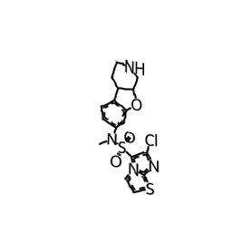 CN(c1ccc2c(c1)OC1CNCCC21)S(=O)(=O)c1c(Cl)nc2sccn12